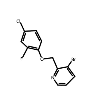 Fc1cc(Cl)ccc1OCc1ncccc1Br